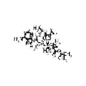 CC(C)OC(=O)C1(CO[P@@](=O)(CO[C@H](C)Cn2cnc3c(N)ncnc32)NC(C)(C)C(=O)OC(C)C)CC1